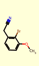 COc1cccc(CC#N)c1Br